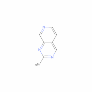 CCCc1ncc2ccncc2n1